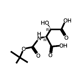 CC(C)(C)OC(=O)N[C@H](C(=O)O)[C@H](O)C(=O)O